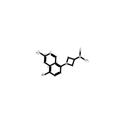 CC(C)c1ccc(N2CC([S+](C)[O-])C2)c2cnc(N)cc12